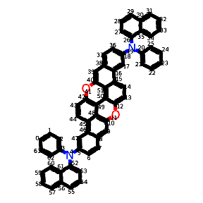 c1ccc(N(c2ccc3cc4oc5ccc6c7cc(N(c8ccccc8)c8cccc9ccccc89)ccc7cc7oc8ccc(c3c2)c4c8-c5c76)c2cccc3ccccc23)cc1